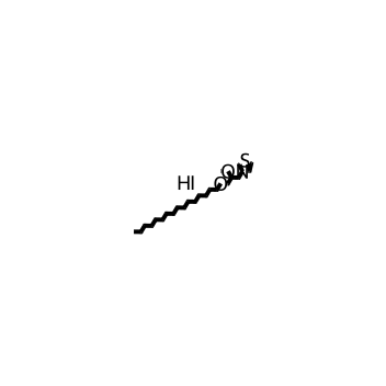 CCCCCCCCCCCCCCCCOCC(CN1C=CSC1)OC.I